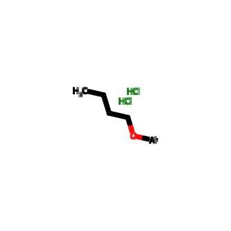 CCCC[O][Al].Cl.Cl